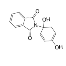 O=C1c2ccccc2C(=O)N1C1(O)C=CC(O)=CC1